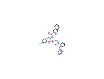 O=C(N[C@H](Cc1ccc(Cl)cc1)C(=O)N1CCN(c2ccccc2Cn2cncn2)CC1)c1cc2ccccc2cn1